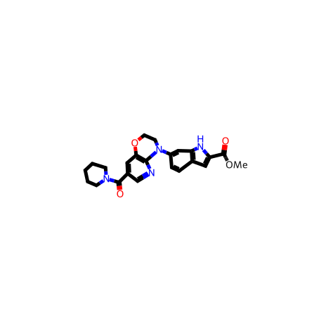 COC(=O)c1cc2ccc(N3CCOc4cc(C(=O)N5CCCCC5)cnc43)cc2[nH]1